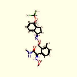 CNC(=O)/C(=N/OC)c1cccc(C)c1CO/N=C1\CCc2c(OC(F)F)cccc21